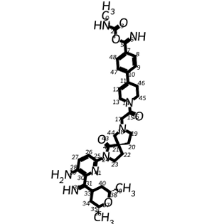 CNC(=O)OC(=N)c1ccc(C2=CCN(C(=O)CN3CC[C@]4(CCN(c5ccc(N)c(C(=N)C6C[C@@H](C)O[C@@H](C)C6)n5)C4=O)C3)CC2)cc1